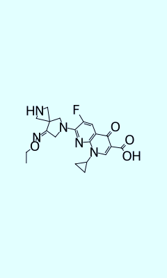 CCON=C1CN(c2nc3c(cc2F)c(=O)c(C(=O)O)cn3C2CC2)CC12CNC2